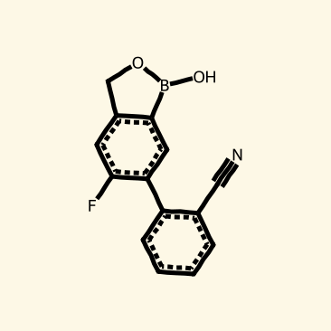 N#Cc1ccccc1-c1cc2c(cc1F)COB2O